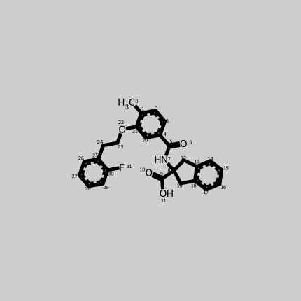 Cc1ccc(C(=O)NC2(C(=O)O)Cc3ccccc3C2)cc1OCCc1ccccc1F